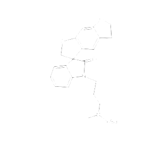 CCCCN(C)CCCN1C(=O)C2(COc3cc4c(cc32)CCO4)c2ccccc21